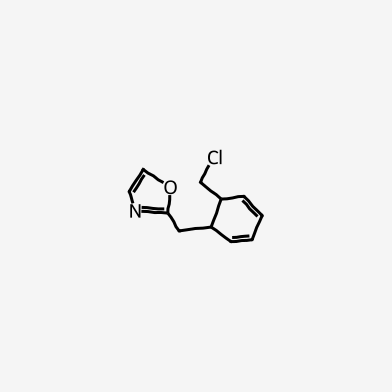 ClCC1C=CC=CC1Cc1ncco1